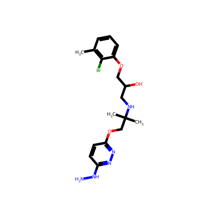 Cc1cccc(OCC(O)CNC(C)(C)COc2ccc(NN)nn2)c1Br